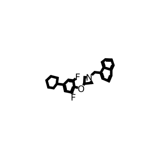 Fc1cc(C2CCCCC2)cc(F)c1OC1CN(Cc2cccc3ccccc23)C1